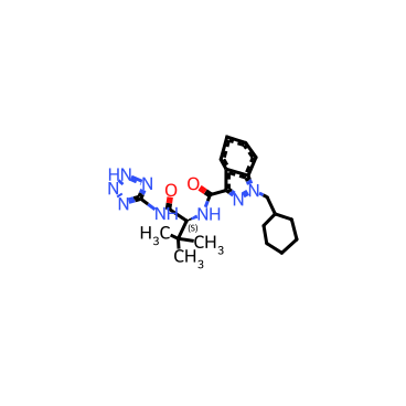 CC(C)(C)[C@H](NC(=O)c1nn(CC2CCCCC2)c2ccccc12)C(=O)Nc1nn[nH]n1